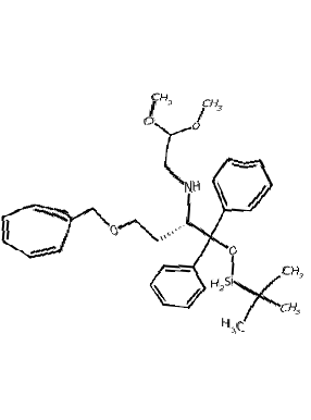 COC(CN[C@@H](CCOCc1ccccc1)C(O[SiH2]C(C)(C)C)(c1ccccc1)c1ccccc1)OC